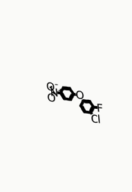 O=[N+]([O-])c1ccc(Oc2ccc(Cl)c(F)c2)cc1